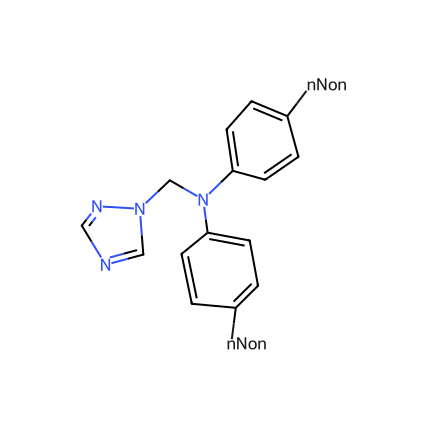 CCCCCCCCCc1ccc(N(Cn2cncn2)c2ccc(CCCCCCCCC)cc2)cc1